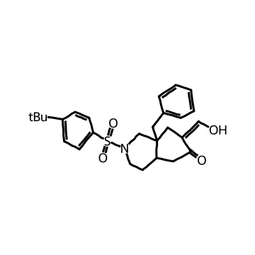 CC(C)(C)c1ccc(S(=O)(=O)N2CCC3CC(=O)C(=CO)CC3(Cc3ccccc3)C2)cc1